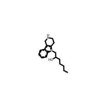 CCCCCC(O)Cn1c2c(c3ccccc31)CNCC2